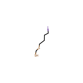 SCSCCCCI